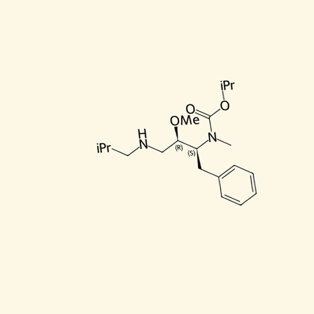 CO[C@H](CNCC(C)C)[C@H](Cc1ccccc1)N(C)C(=O)OC(C)C